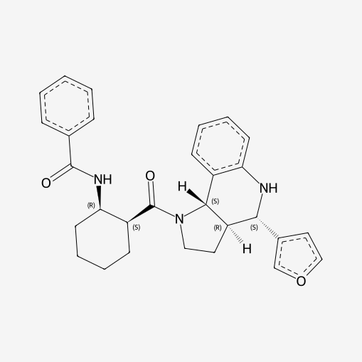 O=C(N[C@@H]1CCCC[C@@H]1C(=O)N1CC[C@@H]2[C@@H](c3ccoc3)Nc3ccccc3[C@H]21)c1ccccc1